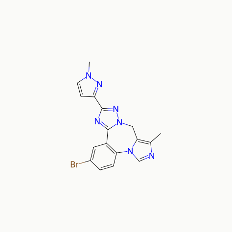 Cc1ncn2c1Cn1nc(-c3ccn(C)n3)nc1-c1cc(Br)ccc1-2